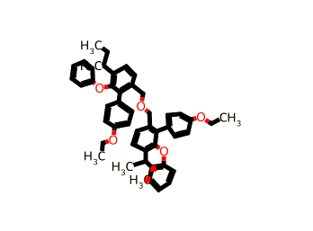 CCOc1ccc(-c2c(COCc3ccc(C(C)CC)c(Oc4ccccc4)c3-c3ccc(OCC)cc3)ccc(C(C)CC)c2Oc2ccccc2)cc1